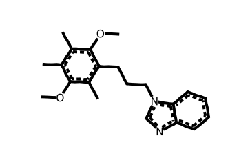 COc1c(C)c(C)c(OC)c(CCCn2cnc3ccccc32)c1C